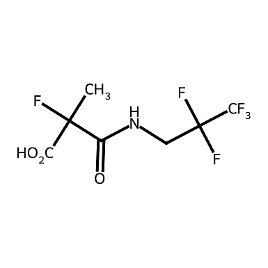 CC(F)(C(=O)O)C(=O)NCC(F)(F)C(F)(F)F